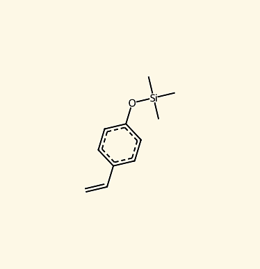 C=Cc1ccc(O[Si](C)(C)C)cc1